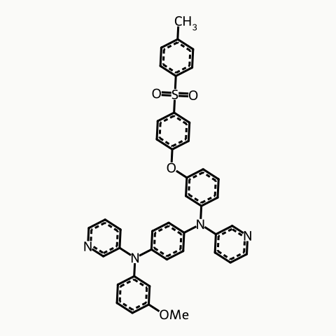 COc1cccc(N(c2ccc(N(c3cccnc3)c3cccc(Oc4ccc(S(=O)(=O)c5ccc(C)cc5)cc4)c3)cc2)c2cccnc2)c1